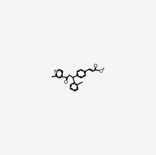 COC(=O)C=Cc1ccc(C(CC(=O)c2ccnc(C)c2)c2ccccc2C)cc1